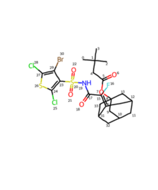 CC(C)(C)CC(=O)OC12CC3CC(C1)C(=C(F)C(=O)NS(=O)(=O)c1c(Cl)sc(Cl)c1Br)C(C3)C2